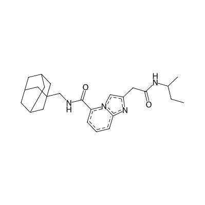 CCC(C)NC(=O)Cc1cn2c(C(=O)NCC34CC5CC(CC(C5)C3)C4)cccc2n1